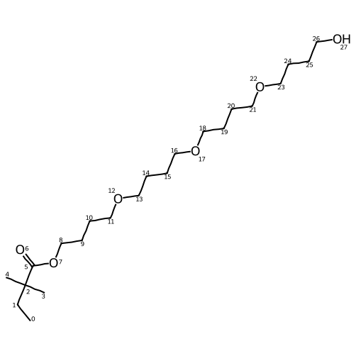 CCC(C)(C)C(=O)OCCCCOCCCCOCCCCOCCCCO